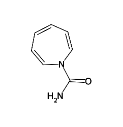 NC(=O)N1C=CC=CC=C1